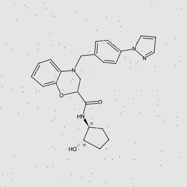 O=C(N[C@H]1CCC[C@@H]1O)C1CN(Cc2ccc(-n3cccn3)cc2)c2ccccc2O1